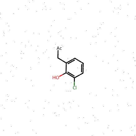 CC(=O)Cc1cccc(Cl)c1O